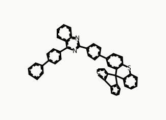 c1ccc(-c2ccc(-c3nc(-c4ccc(-c5ccc6c(c5)C5(c7ccccc7S6)c6ccccc6-c6ccccc65)cc4)nc4ccccc34)cc2)cc1